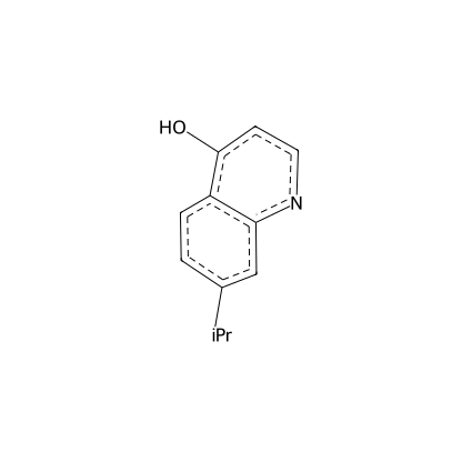 CC(C)c1ccc2c(O)ccnc2c1